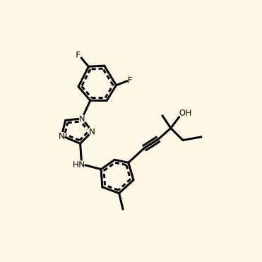 CCC(C)(O)C#Cc1cc(C)cc(Nc2ncn(-c3cc(F)cc(F)c3)n2)c1